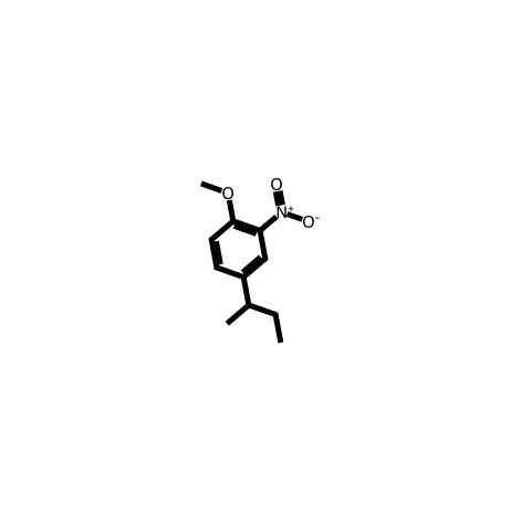 CCC(C)c1ccc(OC)c([N+](=O)[O-])c1